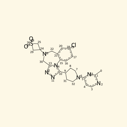 Cc1nccc(N2CCC(c3nnc4n3-c3ccc(Cl)cc3CN(C3CS(=O)(=O)C3)C4)CC2)n1